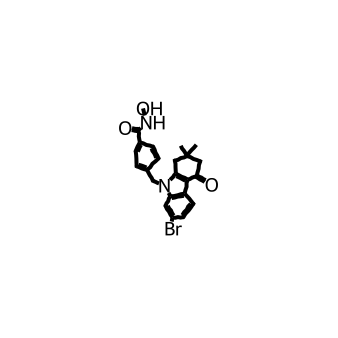 CC1(C)CC(=O)c2c(n(Cc3ccc(C(=O)NO)cc3)c3cc(Br)ccc23)C1